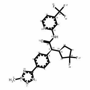 Cn1nnc(-c2ccc([C@@H](C(=O)Nc3cc(C(F)(F)F)ccn3)[C@H]3CCC(F)(F)C3)cc2)n1